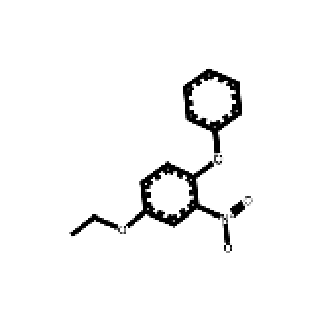 CCOc1ccc(Oc2ccccc2)c([N+](=O)[O-])c1